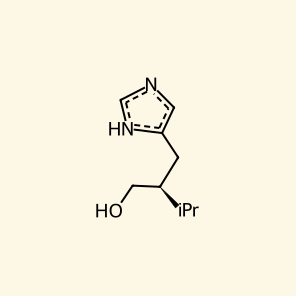 CC(C)[C@@H](CO)Cc1cnc[nH]1